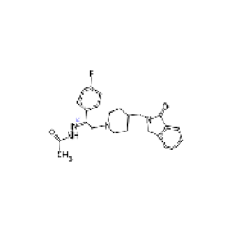 CC(=O)N/N=C(\CN1CCC(CN2Cc3ccccc3C2=O)CC1)c1ccc(F)cc1